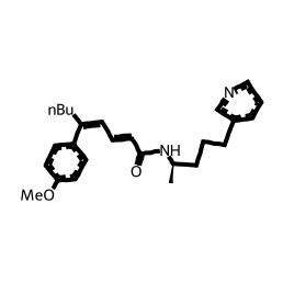 CCCC/C(=C/C=C/C(=O)N[C@H](C)CCCc1cccnc1)c1ccc(OC)cc1